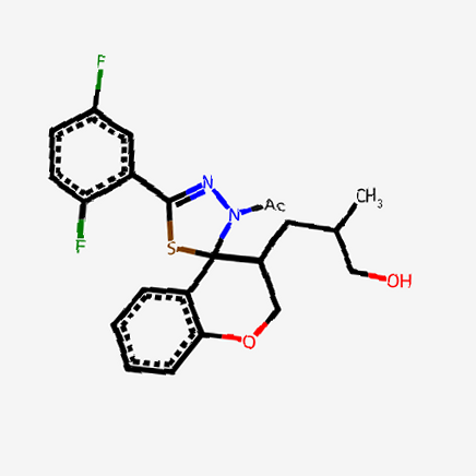 CC(=O)N1N=C(c2cc(F)ccc2F)SC12c1ccccc1OCC2CC(C)CO